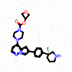 O=C(OC1COC1)N1CCN(c2ccnn3cc(-c4ccc([C@]5(F)CCCNC5)cc4)cc23)CC1